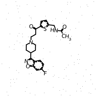 CC(=O)NCc1ccc(C(=O)CCN2CCC(c3noc4cc(F)ccc34)CC2)s1